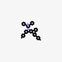 Cc1ccc(-c2ccc3c(c2)c2ccccc2c2cc4c(cc32)c2cc(-c3ccc(C)cc3)ccc2n4-c2cc(-c3ccccc3)nc(-c3ccccc3)c2)cc1